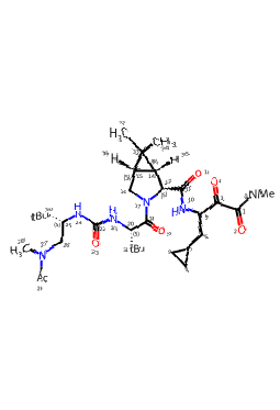 CNC(=O)C(=O)C(CC1CC1)NC(=O)[C@@H]1[C@@H]2[C@H](CN1C(=O)[C@@H](NC(=O)N[C@H](CN(C)C(C)=O)C(C)(C)C)C(C)(C)C)C2(C)C